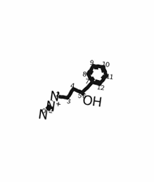 [N-]=[N+]=NCCC(O)c1ccccc1